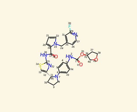 O=C(Nc1ccc(N2CCC[C@@H]2c2csc(NC(=O)c3cccn3Cc3ccnc(F)c3)n2)cc1)O[C@H]1CCOC1